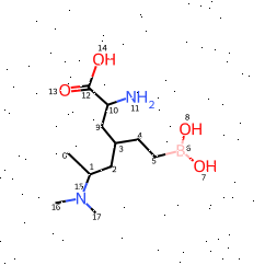 CC(CC(CCB(O)O)CC(N)C(=O)O)N(C)C